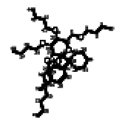 CCCCOC[C@H]1O[C@@](O)(C2(c3ccc(OCCCC)cc3)SCCCS2)[C@H](OCCCC)[C@@H](OCCCC)[C@@H]1OCCCC